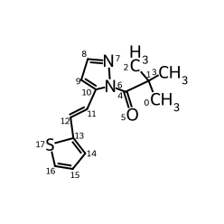 CC(C)(C)C(=O)n1nccc1/C=C/c1cccs1